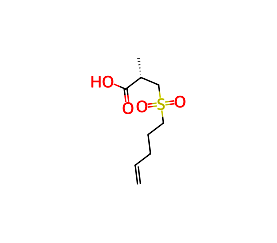 C=CCCCS(=O)(=O)C[C@@H](C)C(=O)O